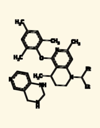 CCC(CC)N1CCC(C)c2c1cc(C)nc2Oc1c(C)cc(C)cc1C.c1cc2c(cn1)CNCN2